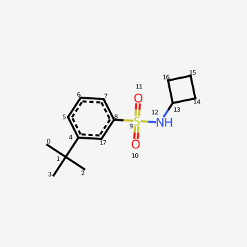 CC(C)(C)c1cccc(S(=O)(=O)NC2CCC2)c1